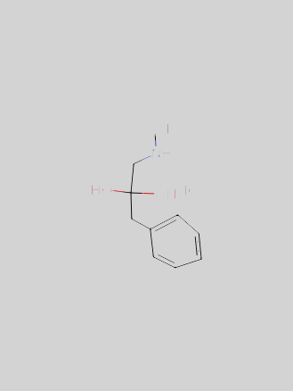 CNCC(O)(O)Cc1ccccc1.Cl